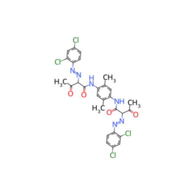 CC(=O)C(N=Nc1ccc(Cl)cc1Cl)C(=O)Nc1cc(C)c(NC(=O)C(N=Nc2ccc(Cl)cc2Cl)C(C)=O)cc1C